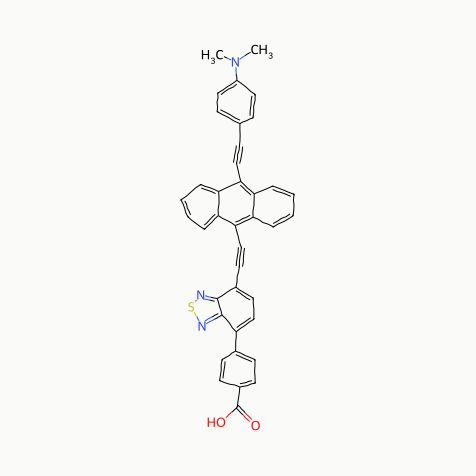 CN(C)c1ccc(C#Cc2c3ccccc3c(C#Cc3ccc(-c4ccc(C(=O)O)cc4)c4nsnc34)c3ccccc23)cc1